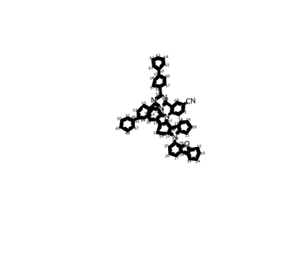 N#Cc1ccc(-n2c3ccccc3c3ccc4c(c5ccccc5n4-c4cccc5c4oc4ccccc45)c32)c(-c2nc(-c3ccc(-c4ccccc4)cc3)nc(-c3ccc(-c4ccccc4)cc3)n2)c1